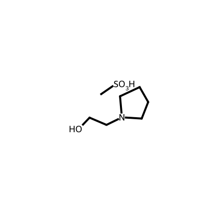 CS(=O)(=O)O.OCCN1CCCC1